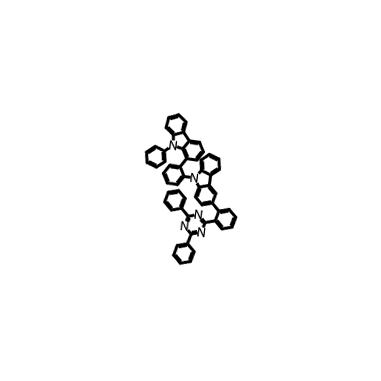 c1ccc(-c2nc(-c3ccccc3)nc(-c3ccccc3-c3ccc4c(c3)c3ccccc3n4-c3ccccc3-c3cccc4c5ccccc5n(-c5ccccc5)c34)n2)cc1